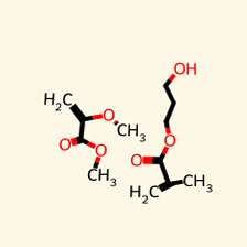 C=C(C)C(=O)OCCCO.C=C(OC)C(=O)OC